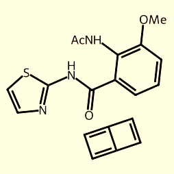 COc1cccc(C(=O)Nc2nccs2)c1NC(C)=O.c1cc2ccc1-2